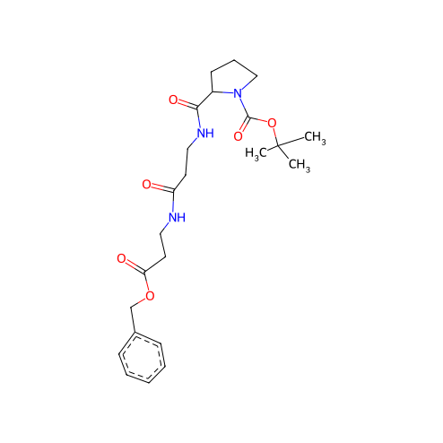 CC(C)(C)OC(=O)N1CCCC1C(=O)NCCC(=O)NCCC(=O)OCc1ccccc1